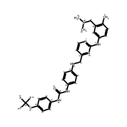 Cc1ccc(Nc2nccc(CNc3ccc(NC(=O)Nc4ccc(OC(F)(F)F)cc4)cc3)n2)cc1CN(C)C